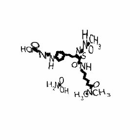 CC(=O)Nc1nc(CCc2ccc(NC=NC(=O)O)cc2)c(C(=O)NCCCCCC(=O)N(C)C)s1.NC(=O)O